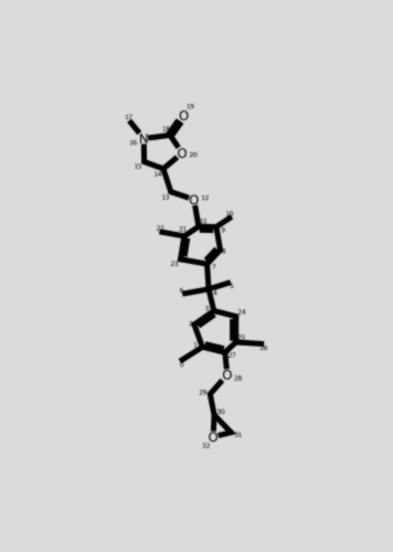 Cc1cc(C(C)(C)c2cc(C)c(OCC3CN(C)C(=O)O3)c(C)c2)cc(C)c1OCC1CO1